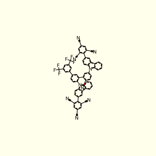 N#Cc1cc(C#N)c(-c2ccc3c(c2)c2ccccc2n3-c2ccc(C#N)c(-c3cc(-c4cc(C(F)(F)F)cc(C(F)(F)F)c4)ccc3-n3c4ccccc4c4cc(-c5c(C#N)cc(C#N)cc5C#N)ccc43)c2)c(C#N)c1